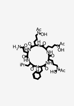 CC(=O)N(O)CCCC1NC(=O)C(CCCN(O)C(C)=O)NC(=O)C(CC2=CC=CCC2)NC(=O)C(CC(C)C)NC(=O)C(CC(N)=O)NC(=O)C(CCCN(O)C(C)=O)NC1=O